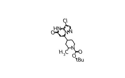 CC1CC(c2cc(=O)[nH]c3c(Cl)cnn23)CCN1C(=O)OC(C)(C)C